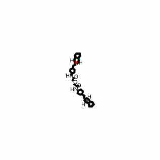 O=C(COCC(=O)NC1CCC(CCN2[C@@H]3CC[C@H]2c2ccccc23)CC1)NC1CCC(CCN2[C@@H]3CC[C@H]2c2ccccc23)CC1